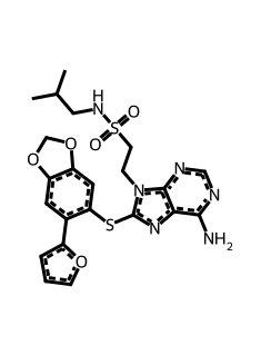 CC(C)CNS(=O)(=O)CCn1c(Sc2cc3c(cc2-c2ccco2)OCO3)nc2c(N)ncnc21